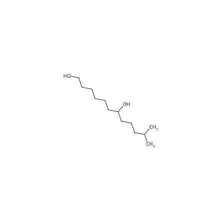 CC(C)CCCC(O)CCCCCCO